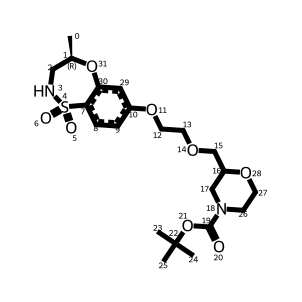 C[C@@H]1CNS(=O)(=O)c2ccc(OCCOCC3CN(C(=O)OC(C)(C)C)CCO3)cc2O1